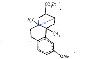 CCOC(=O)C1CC2(C)C3Cc4ccc(OC)cc4C2(C)CC1N3